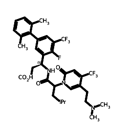 Cc1cccc(C)c1-c1cc([C@H](CC(=O)O)NC(=O)C(CC(C)C)n2cc(CCN(C)C)c(C(F)(F)F)cc2=O)c(F)c(C(F)(F)F)c1